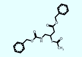 CC(=O)SC(CNC(=O)OCc1ccccc1)CC(=O)OCc1ccccc1